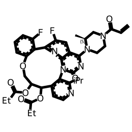 C=CC(=O)N1CCN(c2nc(=O)n3c4nc(c(F)cc24)-c2c(F)cccc2OCC(OC(=O)CC)C(OC(=O)CC)c2ccnc(C(C)C)c2-3)[C@@H](C)C1